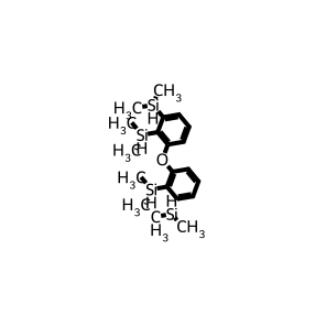 C[SiH](C)c1cccc(Oc2cccc([SiH](C)C)c2[SiH](C)C)c1[SiH](C)C